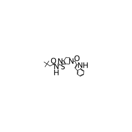 CC(C)(C)CC(=O)Nc1nc2c(s1)CN(C(=O)c1cc3ccccc3[nH]1)CC2